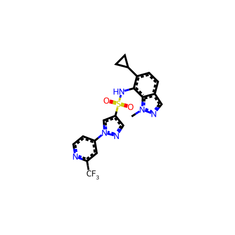 Cn1ncc2ccc(C3CC3)c(NS(=O)(=O)c3cnn(-c4ccnc(C(F)(F)F)c4)c3)c21